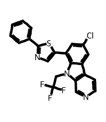 FC(F)(F)Cn1c2cnccc2c2cc(Cl)cc(-c3cnc(-c4ccccc4)s3)c21